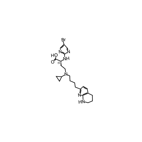 O=C(O)[C@H](CCN(CCCCc1ccc2c(n1)NCCC2)C1CC1)Nc1ncc(Br)cn1